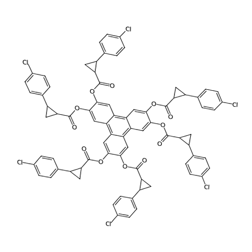 O=C(Oc1cc2c3cc(OC(=O)C4CC4c4ccc(Cl)cc4)c(OC(=O)C4CC4c4ccc(Cl)cc4)cc3c3cc(OC(=O)C4CC4c4ccc(Cl)cc4)c(OC(=O)C4CC4c4ccc(Cl)cc4)cc3c2cc1OC(=O)C1CC1c1ccc(Cl)cc1)C1CC1c1ccc(Cl)cc1